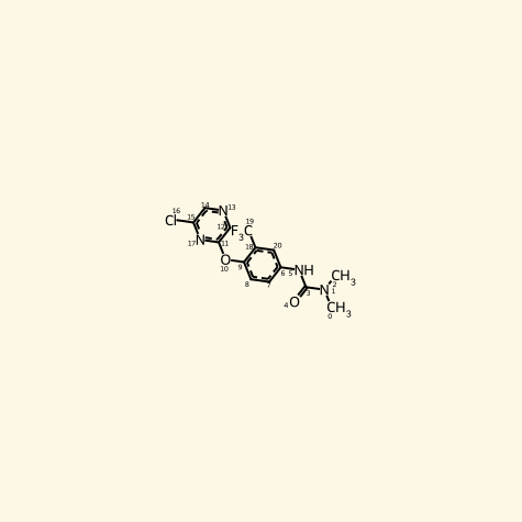 CN(C)C(=O)Nc1ccc(Oc2cncc(Cl)n2)c(C(F)(F)F)c1